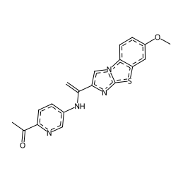 C=C(Nc1ccc(C(C)=O)nc1)c1cn2c(n1)sc1cc(OC)ccc12